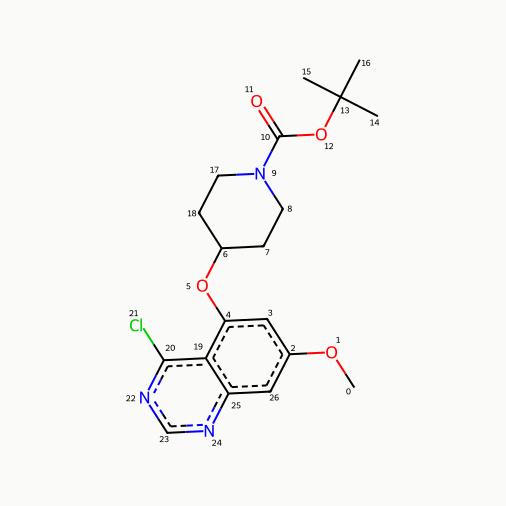 COc1cc(OC2CCN(C(=O)OC(C)(C)C)CC2)c2c(Cl)ncnc2c1